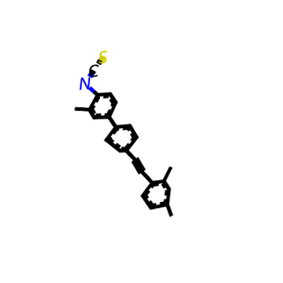 Cc1ccc(C#Cc2ccc(-c3ccc(N=C=S)c(C)c3)cc2)c(C)c1